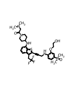 CN(C)CC(=O)N1CCC(Nc2cccc3c(CC(F)(F)F)c(C#CCNc4ccc(P(C)(C)=O)cc4OCCO)sc23)CC1